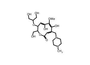 COC1=C(O)/C(CN2CCN(C)CC2)=C/C(=O)OC(CO)C(OC(CO)CO)\C=C\1O